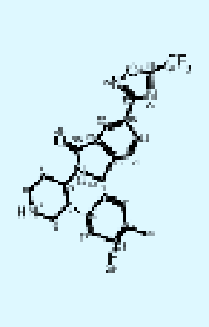 Cc1ccc([C@@H]2CNCCC2N2Cc3ccc(-c4noc(C(F)(F)F)n4)cc3C2=O)cc1F